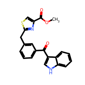 COC(=O)c1csc(Cc2cccc(C(=O)c3c[nH]c4ccccc34)c2)n1